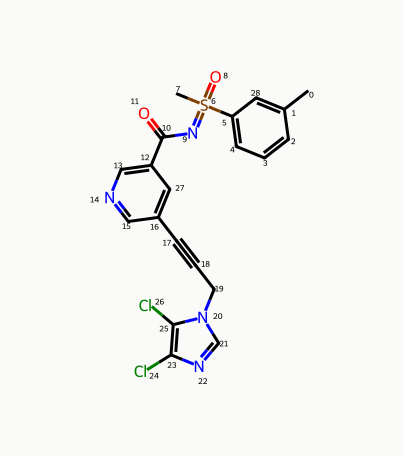 Cc1cccc(S(C)(=O)=NC(=O)c2cncc(C#CCn3cnc(Cl)c3Cl)c2)c1